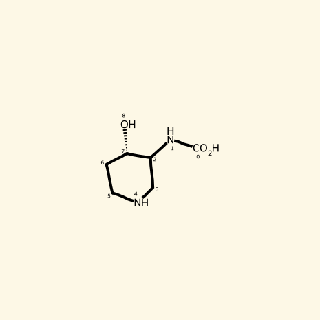 O=C(O)NC1CNCC[C@@H]1O